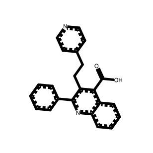 O=C(O)c1c(CCc2ccncc2)c(-c2ccccc2)nc2ccccc12